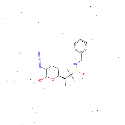 CC([C@@H]1CCC(N=[N+]=[N-])C(O)O1)C(C)(C)[S+]([O-])NCc1ccccc1